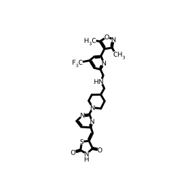 Cc1noc(C)c1-c1cc(C(F)(F)F)cc(CNCC2CCN(c3nccc(/C=C4\SC(=O)NC4=O)n3)CC2)n1